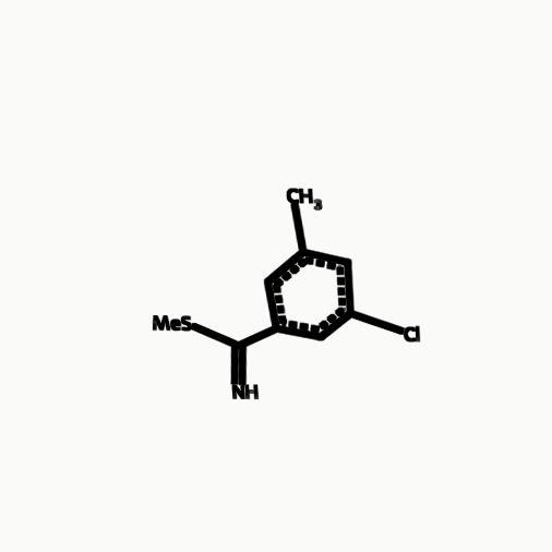 CSC(=N)c1cc(C)cc(Cl)c1